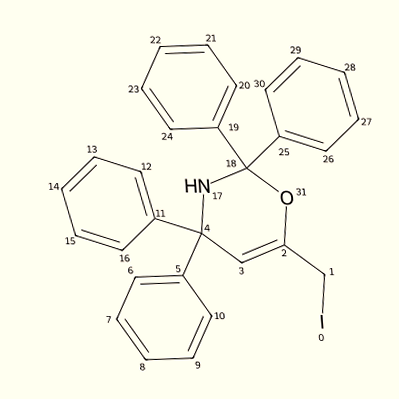 ICC1=CC(c2ccccc2)(c2ccccc2)NC(c2ccccc2)(c2ccccc2)O1